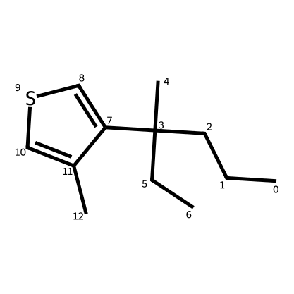 CCCC(C)(CC)c1cscc1C